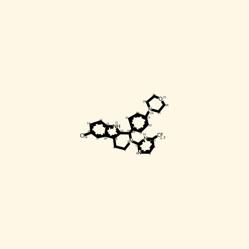 FC(F)(F)c1ccnc(N2CCc3c([nH]c4ccc(Cl)cc34)C2c2ccc(N3CCOCC3)cc2)n1